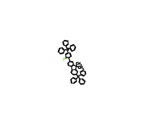 CC1(C)c2cc(-c3ccc([Si](c4ccccc4)(c4ccccc4)c4ccccc4)cc3F)ccc2-c2ccc([Si](c3ccccc3)(c3ccccc3)c3ccccc3)cc21